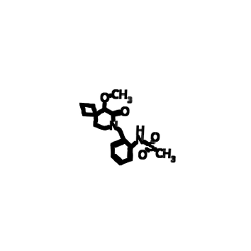 COC1C(=O)N(Cc2ccccc2NS(C)(=O)=O)CCC12CCC2